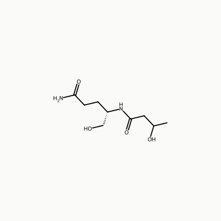 CC(O)CC(=O)N[C@H](CO)CCC(N)=O